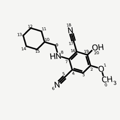 COc1cc(C#N)c(NCC2CCCCC2)c(C#N)c1O